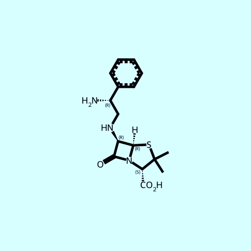 CC1(C)S[C@@H]2[C@H](NC[C@H](N)c3ccccc3)C(=O)N2[C@H]1C(=O)O